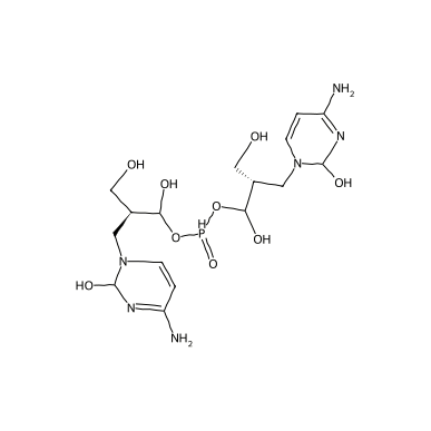 NC1=NC(O)N(C[C@@H](CO)C(O)O[PH](=O)OC(O)[C@H](CO)CN2C=CC(N)=NC2O)C=C1